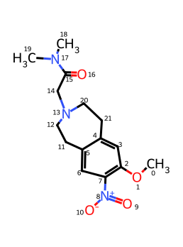 COc1cc2c(cc1[N+](=O)[O-])CCN(CC(=O)N(C)C)CC2